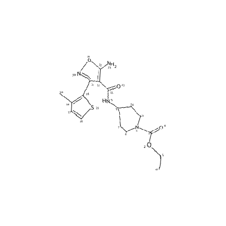 CCOC(=O)N1CCC(NC(=O)c2c(-c3sccc3C)noc2N)CC1